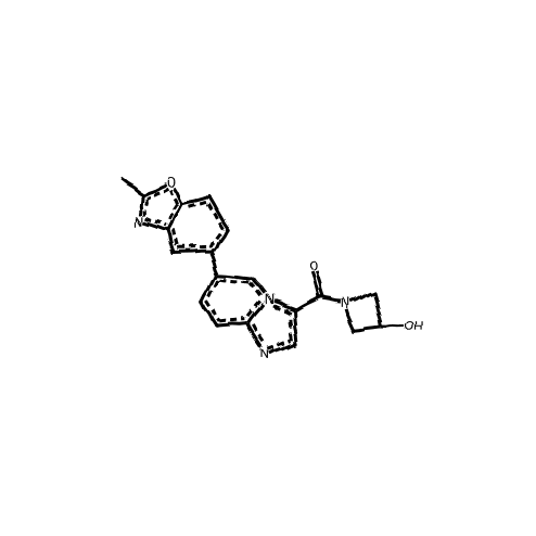 Cc1nc2cc(-c3ccc4ncc(C(=O)N5CC(O)C5)n4c3)ccc2o1